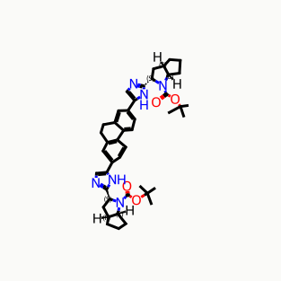 CC(C)(C)OC(=O)N1[C@@H]2CCC[C@@H]2C[C@H]1c1ncc(-c2ccc3c(c2)CCc2cc(-c4cnc([C@@H]5C[C@@H]6CCC[C@@H]6N5C(=O)OC(C)(C)C)[nH]4)ccc2-3)[nH]1